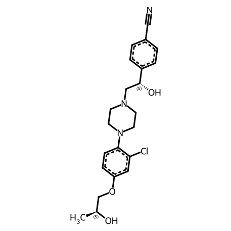 C[C@H](O)COc1ccc(N2CCN(C[C@@H](O)c3ccc(C#N)cc3)CC2)c(Cl)c1